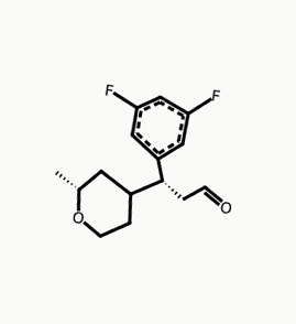 C[C@@H]1CC([C@@H](CC=O)c2cc(F)cc(F)c2)CCO1